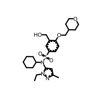 CCn1nc(C)cc1N(C1CCCCC1)S(=O)(=O)c1ccc(OCC2CCOCC2)c(CO)c1